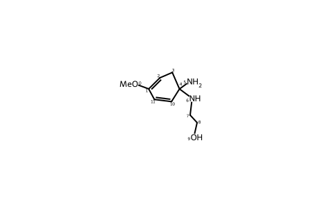 COC1=CCC(N)(NCCO)C=C1